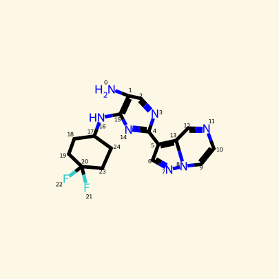 Nc1cnc(-c2cnn3ccncc23)nc1NC1CCC(F)(F)CC1